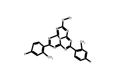 CCOC1=NC2=NC(c3ccc(F)cc3C)=NC3=NC(c4ccc(F)cc4C)=NC(=N1)N23